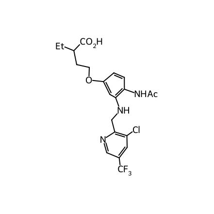 CCC(CCOc1ccc(NC(C)=O)c(NCc2ncc(C(F)(F)F)cc2Cl)c1)C(=O)O